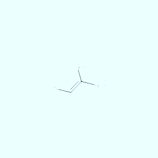 CCCCCC(=C[N+](=O)[O-])CCCCC